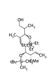 C=C[C@H](OC)[C@@H](O[Si](C)(C)C(C)(C)C)C(C)/C=C(/C)[C@H](O[Si](CC)(CC)CC)C(C)CO